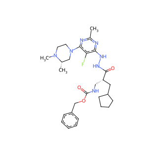 Cc1nc(NNC(=O)[C@@H](CNC(=O)OCc2ccccc2)CC2CCCC2)c(F)c(N2CCN(C)[C@@H](C)C2)n1